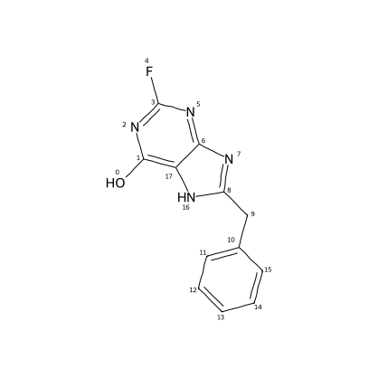 Oc1nc(F)nc2nc(Cc3ccccc3)[nH]c12